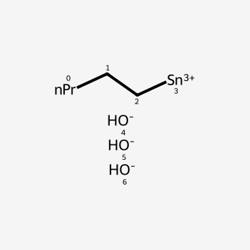 CCCC[CH2][Sn+3].[OH-].[OH-].[OH-]